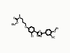 [C-]#[N+]c1cc(-c2nnc(-c3ccc(OCCCN(C)C(=O)OC(C)(C)C)cc3CC)o2)ccc1OC(C)C